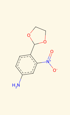 Nc1ccc(C2OCCO2)c([N+](=O)[O-])c1